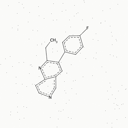 CCc1nc2ccncc2cc1-c1ccc(F)cc1